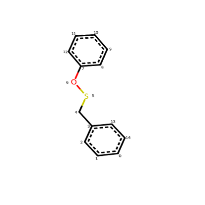 c1ccc(CSOc2ccccc2)cc1